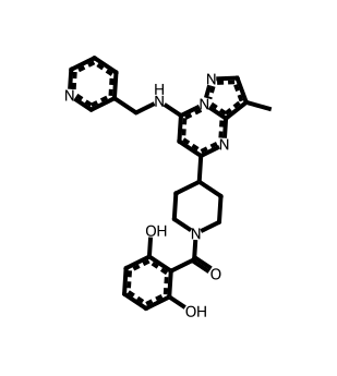 Cc1cnn2c(NCc3cccnc3)cc(C3CCN(C(=O)c4c(O)cccc4O)CC3)nc12